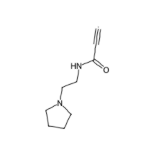 [C]#CC(=O)NCCN1CCCC1